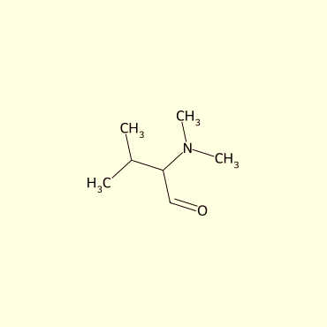 CC(C)C(C=O)N(C)C